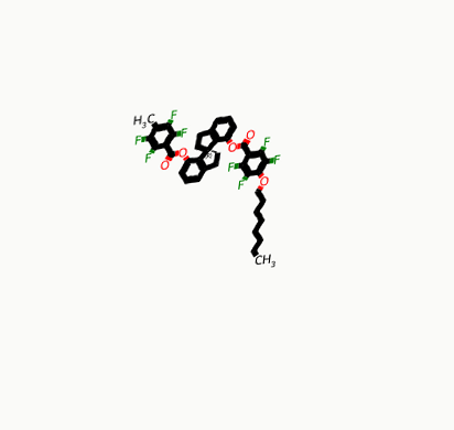 CCCCCCCCOc1c(F)c(F)c(C(=O)Oc2cccc3c2[C@]2(CCc4cccc(OC(=O)c5c(F)c(F)c(C)c(F)c5F)c42)CC3)c(F)c1F